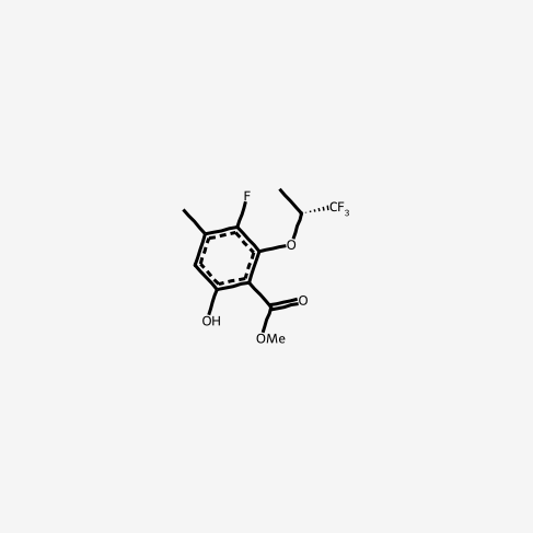 COC(=O)c1c(O)cc(C)c(F)c1O[C@H](C)C(F)(F)F